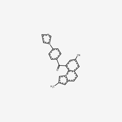 Cc1cc2ccc3cc(C#N)cc(C(=O)c4ccc(-n5ccnc5)cc4)c3n2c1